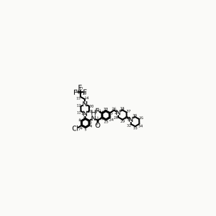 O=C(Nc1ccc(Cl)cc1N1CCN(CCC(F)(F)F)CC1)c1ccc(CN2CCC(N3CCCCC3)CC2)cc1F